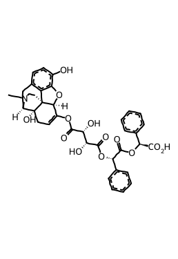 CN1CC[C@]23c4c5ccc(O)c4O[C@H]2C(OC(=O)[C@H](O)[C@@H](O)C(=O)O[C@H](C(=O)O[C@H](C(=O)O)c2ccccc2)c2ccccc2)=CC[C@@]3(O)[C@H]1C5